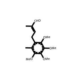 COc1c(C)c(C/C=C(\C)C=O)c(OC)c(OC)c1OC